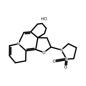 Cl.O=S1(=O)CCCN1C1CC23CCCCC2=CN2C=CCCC2=C3O1